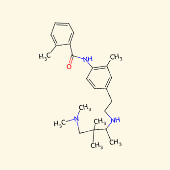 Cc1cc(CCNC(C)C(C)(C)CN(C)C)ccc1NC(=O)c1ccccc1C